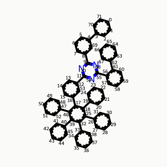 c1ccc(-c2cccc(-c3nc(-c4cccc(-c5c(-c6ccccc6)c(-c6ccccc6)c(-c6ccccc6)c(-c6ccccc6)c5-c5ccccc5)c4)nc(-c4ccccc4-c4ccccc4)n3)c2)cc1